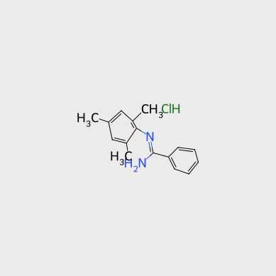 Cc1cc(C)c(N=C(N)c2ccccc2)c(C)c1.Cl